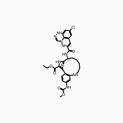 CCOC(=O)c1[nH]c2nc1-c1ccc(NC(=O)OC)cc1NCCCCC[C@@H]2NC(=O)/C=C/c1cc(Cl)ccc1N(N)/C=N\N